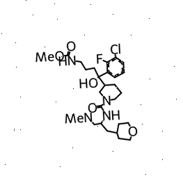 CNCC(CC1CCOCC1)NC(=O)N1CCCC(C(O)(CCCNC(=O)OC)c2cccc(Cl)c2F)C1